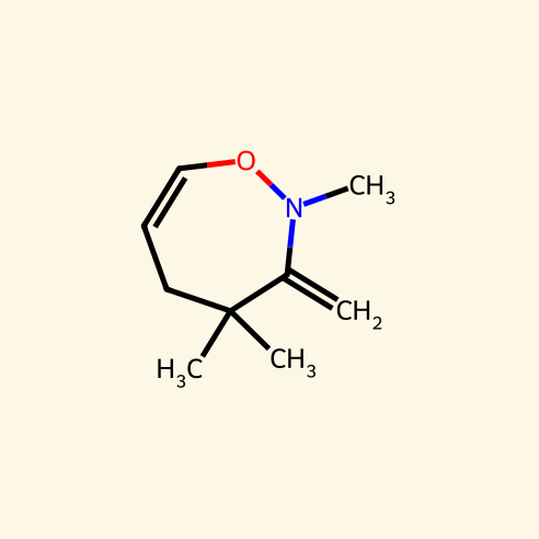 C=C1N(C)OC=CCC1(C)C